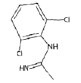 CC(=N)Nc1c(Cl)cccc1Cl